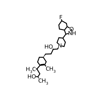 CC1=C(C(C)C[C@@H](C)O)CC[C@@H](CCC(O)CN2CCC(C3NOC4CC(F)CCC43)CC2)C1